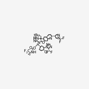 CC(C)(C)C[C@]1(c2ccc3nc(-c4cnn(C(F)F)c4)ccc3c2)NC(=N)N([C@H](COC(=O)NC2(C(F)(F)F)CC2)c2ccc(Cl)c(-n3ncnc3C(F)F)c2)C1=O